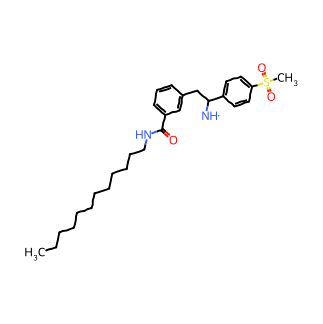 CCCCCCCCCCCCNC(=O)c1cccc(CC([NH])c2ccc(S(C)(=O)=O)cc2)c1